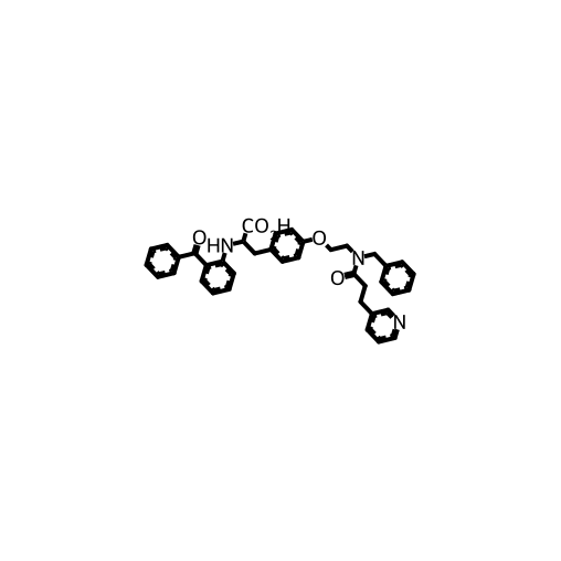 O=C(c1ccccc1)c1ccccc1NC(Cc1ccc(OCCN(Cc2ccccc2)C(=O)CCc2cccnc2)cc1)C(=O)O